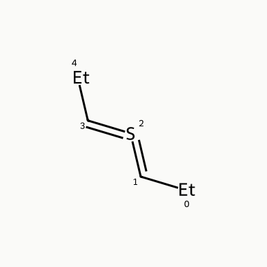 CCC=S=CCC